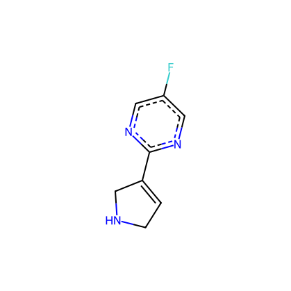 Fc1cnc(C2=CCNC2)nc1